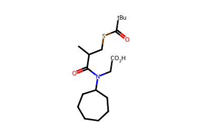 CC(CSC(=O)C(C)(C)C)C(=O)N(CC(=O)O)C1CCCCCC1